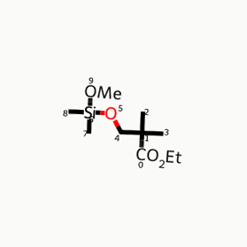 CCOC(=O)C(C)(C)CO[Si](C)(C)OC